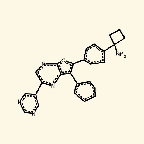 NC1(c2ccc(-c3oc4ncc(-c5cncnc5)nc4c3-c3ccccc3)cc2)CCC1